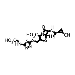 N#C[C@@H]1C[C@@H]1C(=S)NC1C(=O)N2C(C(=O)O)=C(CSc3nnc(NCC(=O)O)s3)CS[C@@H]12